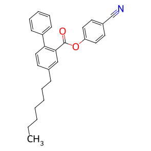 CCCCCCCc1ccc(-c2ccccc2)c(C(=O)Oc2ccc(C#N)cc2)c1